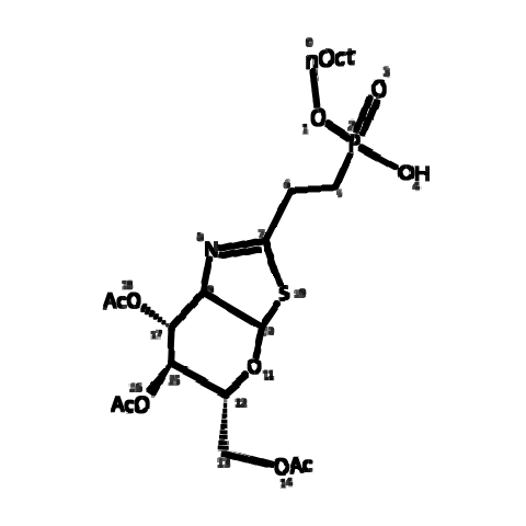 CCCCCCCCOP(=O)(O)CCC1=NC2C(O[C@H](COC(C)=O)[C@@H](OC(C)=O)[C@@H]2OC(C)=O)S1